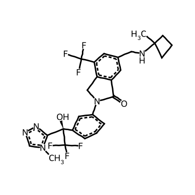 Cn1cnnc1[C@](O)(c1cccc(N2Cc3c(cc(CNC4(C)CCC4)cc3C(F)(F)F)C2=O)c1)C(F)(F)F